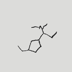 CCC1CCC(C(CC)N(C)C)C1